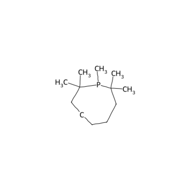 CP1C(C)(C)CCCCCC1(C)C